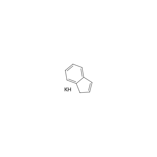 C1=Cc2ccccc2C1.[KH]